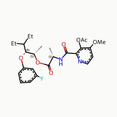 CCC(CC)[C@@H](Oc1cccc(F)c1)[C@H](C)OC(=O)[C@H](C)NC(=O)c1nccc(OC)c1OC(C)=O